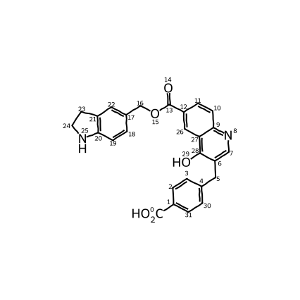 O=C(O)c1ccc(Cc2cnc3ccc(C(=O)OCc4ccc5c(c4)CCN5)cc3c2O)cc1